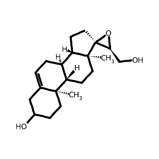 C[C@]12CCC(O)CC1=CC[C@@H]1[C@@H]2CC[C@@]2(C)[C@H]1CC[C@@]21O[C@H]1CO